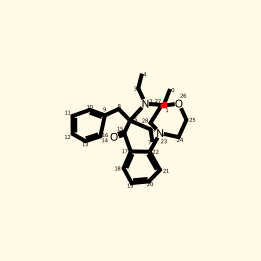 CCN(CC)C(CC)(Cc1ccccc1)C(=O)c1ccccc1N1CCOCC1